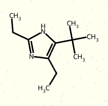 CCc1nc(CC)c(C(C)(C)C)[nH]1